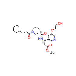 CC(C)(C)OC(=O)C[C@H](NC(=O)[C@@H]1CCCN(C(=O)CCC2CCCCC2)C1)c1cncc(OCCO)c1